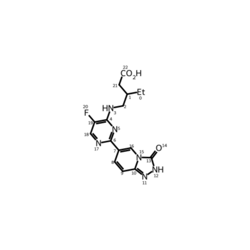 CCC(CNc1nc(-c2ccc3n[nH]c(=O)n3c2)ncc1F)CC(=O)O